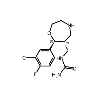 NC(=O)NC[C@H]1CNCCO[C@@H]1c1ccc(F)c(Cl)c1